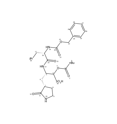 CCCCC(=O)OC([C@H](C[C@@H]1CCNC1=O)NC(=O)[C@H](CC(C)C)NC(=O)OCc1ccccc1)S(=O)(=O)O